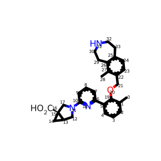 Cc1cccc(-c2cccc(N3CC4C[C@]4(C(=O)O)C3)n2)c1OCc1ccc2c(c1C)CCNCC2